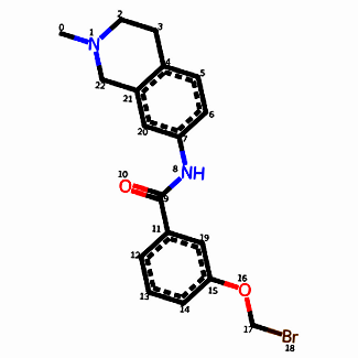 CN1CCc2ccc(NC(=O)c3cccc(OCBr)c3)cc2C1